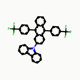 FC(F)(F)c1ccc(-c2c3ccccc3c(-c3ccc(C(F)(F)F)cc3)c3cc(-n4c5ccccc5c5ccccc54)ccc23)cc1